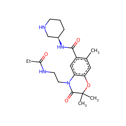 CCC(=O)NCCN1C(=O)C(C)(C)Oc2cc(C)c(C(=O)N[C@@H]3CCCNC3)cc21